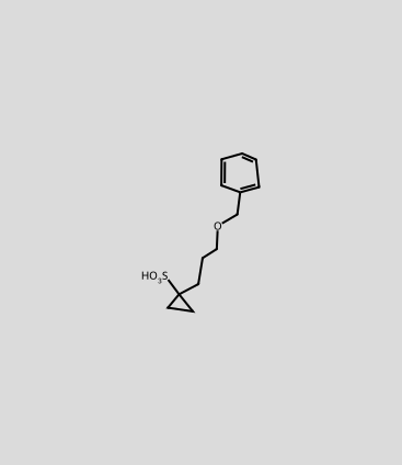 O=S(=O)(O)C1(CCCOCc2ccccc2)CC1